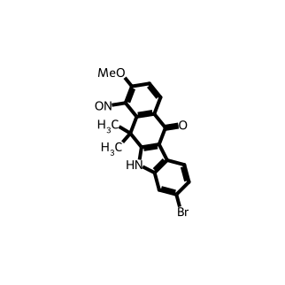 COc1ccc2c(c1N=O)C(C)(C)c1[nH]c3cc(Br)ccc3c1C2=O